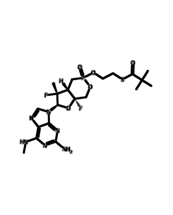 CNc1nc(N)nc2c1ncn2[C@@H]1O[C@]2(F)COP(=O)(OCCSC(=O)C(C)(C)C)C[C@H]2[C@@]1(C)F